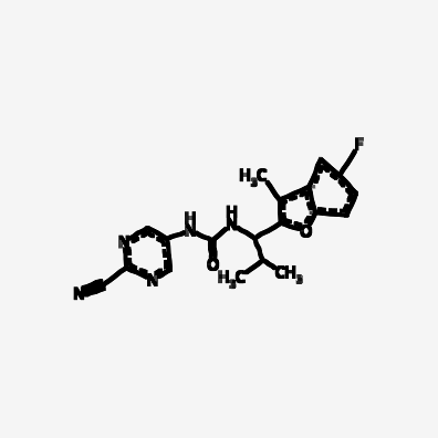 Cc1c(C(NC(=O)Nc2cnc(C#N)nc2)C(C)C)oc2ccc(F)cc12